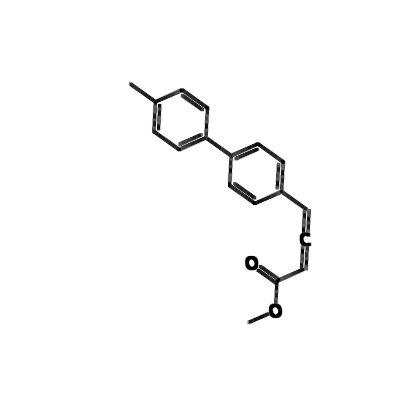 COC(=O)C=C=Cc1ccc(-c2ccc(C)cc2)cc1